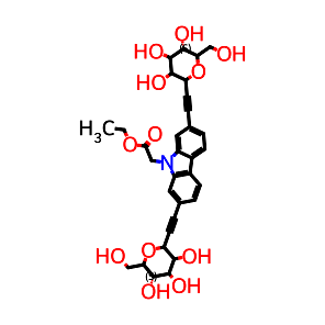 CCOC(=O)Cn1c2cc(C#CC3OC(CO)[C@@H](O)C(O)C3O)ccc2c2ccc(C#CC3OC(CO)[C@@H](O)C(O)C3O)cc21